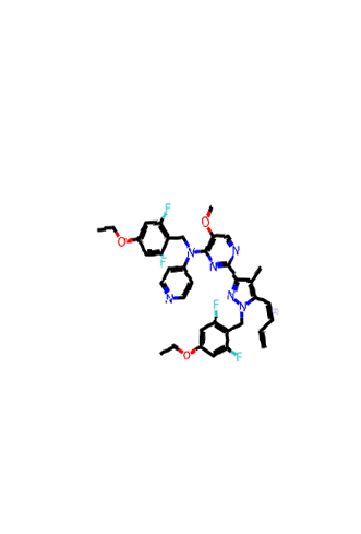 C=C/C=C\c1c(C)c(-c2ncc(OC)c(N(Cc3c(F)cc(OCC)cc3F)c3ccncc3)n2)nn1Cc1c(F)cc(OCC)cc1F